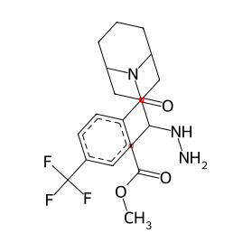 COC(=O)CC(NN)C1CC2CCCC(C1)N2C(=O)c1ccc(C(F)(F)F)cc1